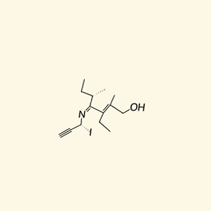 C#C[C@@H](I)/N=C(\C(CC)=C(/C)CO)[C@@H](C)CC